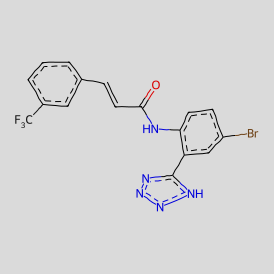 O=C(C=Cc1cccc(C(F)(F)F)c1)Nc1ccc(Br)cc1-c1nnn[nH]1